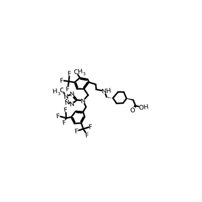 Cc1cc(CCNC[C@H]2CC[C@H](CC(=O)O)CC2)c(CN(Cc2cc(C(F)(F)F)cc(C(F)(F)F)c2)c2nnn(C)n2)cc1C(F)(F)F